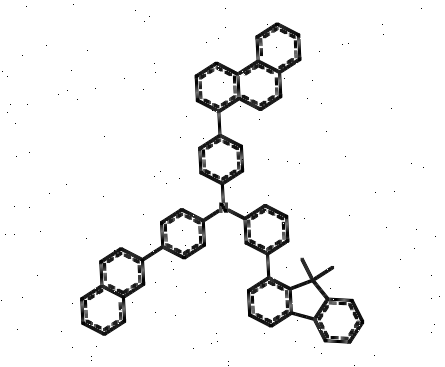 CC1(C)c2ccccc2-c2cccc(-c3cccc(N(c4ccc(-c5ccc6ccccc6c5)cc4)c4ccc(-c5cccc6c5ccc5ccccc56)cc4)c3)c21